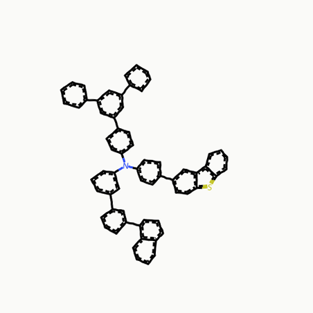 c1ccc(-c2cc(-c3ccccc3)cc(-c3ccc(N(c4ccc(-c5ccc6sc7ccccc7c6c5)cc4)c4cccc(-c5cccc(-c6cccc7ccccc67)c5)c4)cc3)c2)cc1